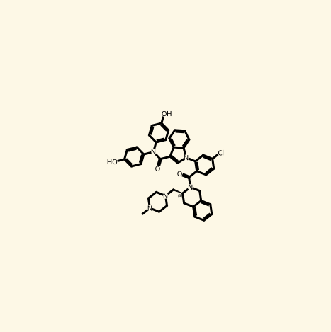 CN1CCN(C[C@@H]2Cc3ccccc3CN2C(=O)c2ccc(Cl)cc2-n2cc(C(=O)N(c3ccc(O)cc3)c3ccc(O)cc3)c3ccccc32)CC1